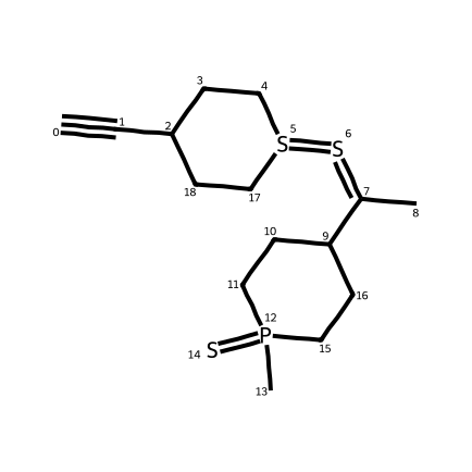 C#CC1CCS(=S=C(C)C2CCP(C)(=S)CC2)CC1